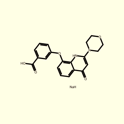 O=C(O)c1cccc(Oc2cccc3c(=O)cc(N4CCOCC4)[nH]c23)c1.[NaH]